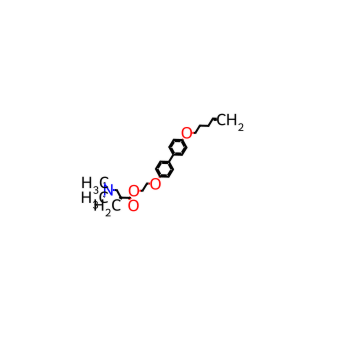 C=CCCCOc1ccc(-c2ccc(OCCOC(=O)C(=C)CN(C)C)cc2)cc1